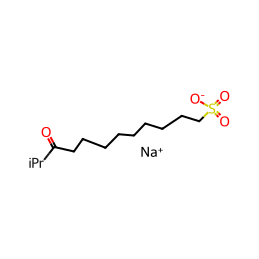 CC(C)C(=O)CCCCCCCCCS(=O)(=O)[O-].[Na+]